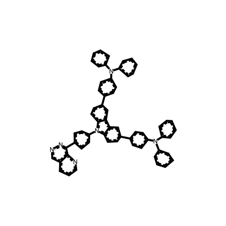 c1ccc(N(c2ccccc2)c2ccc(-c3ccc4c(c3)c3cc(-c5ccc(N(c6ccccc6)c6ccccc6)cc5)ccc3n4-c3ccc(-c4nncc5cccnc45)cc3)cc2)cc1